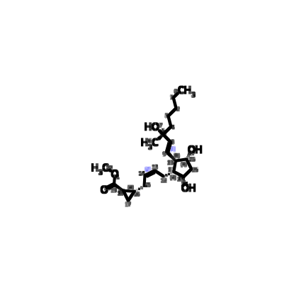 CCCCC[C@@](C)(O)/C=C/[C@@H]1[C@@H](C/C=C\C[C@@H]2C[C@H]2C(=O)OC)[C@@H](O)C[C@H]1O